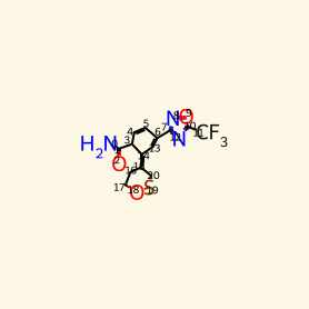 NC(=O)C1C=CC(c2noc(C(F)(F)F)n2)=CC1=C1CCOSC1